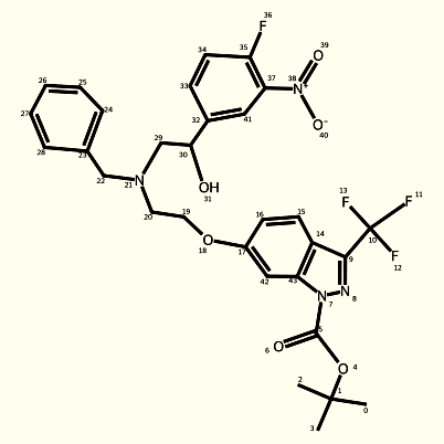 CC(C)(C)OC(=O)n1nc(C(F)(F)F)c2ccc(OCCN(Cc3ccccc3)CC(O)c3ccc(F)c([N+](=O)[O-])c3)cc21